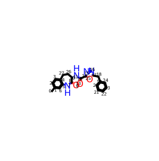 Cc1ccc2c(c1)NC(=O)[C@@H](NC(=O)c1nnc(Cc3ccccc3)o1)CC2